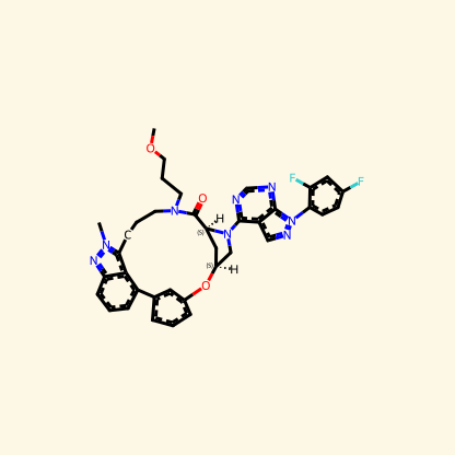 COCCCN1CCCc2c3c(cccc3nn2C)-c2cccc(c2)O[C@H]2C[C@@H](C1=O)N(c1ncnc3c1cnn3-c1ccc(F)cc1F)C2